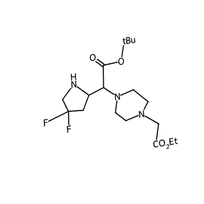 CCOC(=O)CN1CCN(C(C(=O)OC(C)(C)C)C2CC(F)(F)CN2)CC1